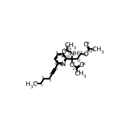 CCCCC#Cc1cccc(C(CCOC(C)=O)(NC(C)=O)OC(C)=O)n1